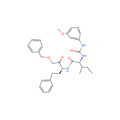 CCC(C)[C@H](NC(=O)Nc1cccc(OC)c1)C(=O)N[C@@H](CCc1ccccc1)C(=O)COCc1ccccc1